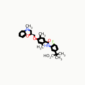 Cc1cc(C(=O)Nc2cc(C(C)(C)C(=O)O)ccc2F)c(C)cc1OC[C@@H]1CN(C)c2ccccc2O1